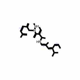 C=C(C)/C=C\C(=C)CN(NC)C(=C)/C(=C\C)C(C)N/C=C(C)/C=C(\C=C/C)C(C)C